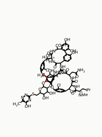 CN[C@@H](CC(C)C)C(=O)NC1C(=O)NC(CC(N)=O)C(=O)NC2C(=O)NC3C(=O)N[C@H](C(=O)NC(C(=O)O)c4cc(O)cc(O)c4-c4cc3ccc4O)[C@H](O)c3ccc(c(Cl)c3)Oc3cc2cc(c3OC2OC(CSc3nnc(C)c(O)n3)C(O)C(O)C2OC2CC(N)(I)C(O)C(C)O2)Oc2ccc(cc2Cl)C1O